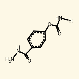 CCNC(=O)Oc1ccc(C(=O)NN)cc1